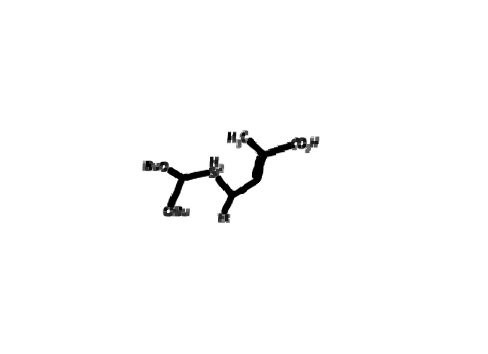 CCC(C=C(C)C(=O)O)[SiH2]C(OCC(C)C)OCC(C)C